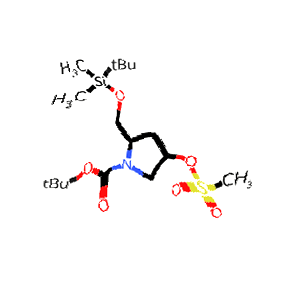 CC(C)(C)OC(=O)N1CC(OS(C)(=O)=O)CC1CO[Si](C)(C)C(C)(C)C